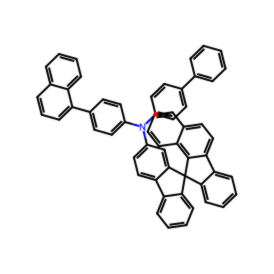 c1ccc(-c2ccc(N(c3ccc(-c4cccc5ccccc45)cc3)c3ccc4c(c3)C3(c5ccccc5-4)c4ccccc4-c4ccc5ccccc5c43)cc2)cc1